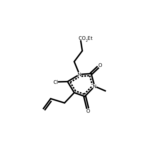 C=CCc1c(Cl)n(CCC(=O)OCC)c(=O)n(C)c1=O